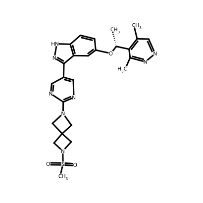 Cc1cnnc(C)c1[C@@H](C)Oc1ccc2[nH]nc(-c3cnc(N4CC5(C4)CN(S(C)(=O)=O)C5)nc3)c2c1